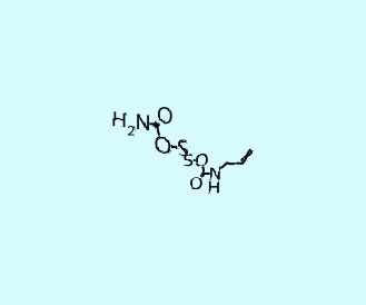 C=CCNC(=O)OSSOC(N)=O